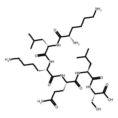 CC(C)C[C@H](NC(=O)[C@H](CCC(N)=O)NC(=O)[C@H](CCCCN)NC(=O)[C@H](CC(C)C)NC(=O)[C@@H](N)CCCCN)C(=O)N[C@@H](CO)C(=O)O